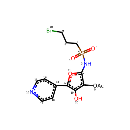 CC(=O)Oc1c(NS(=O)(=O)CCCBr)oc(-c2ccncc2)c1O